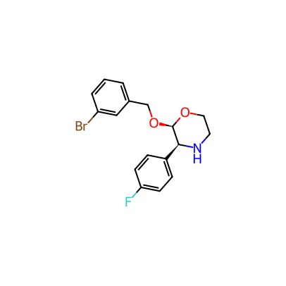 Fc1ccc([C@@H]2NCCO[C@@H]2OCc2cccc(Br)c2)cc1